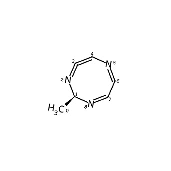 C[C@H]1N=C=C/N=C\C=N/1